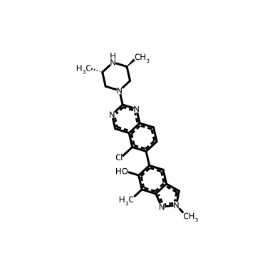 Cc1c(O)c(-c2ccc3nc(N4C[C@H](C)N[C@@H](C)C4)ncc3c2Cl)cc2cn(C)nc12